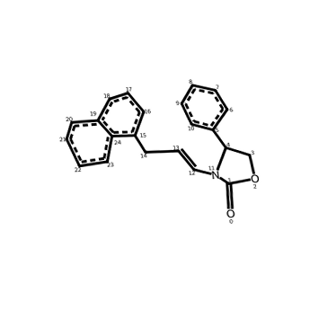 O=C1OCC(c2ccccc2)N1/C=C/Cc1cccc2ccccc12